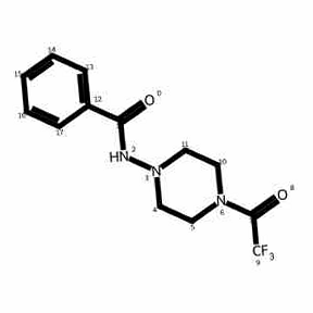 O=C(NN1CCN(C(=O)C(F)(F)F)CC1)c1ccccc1